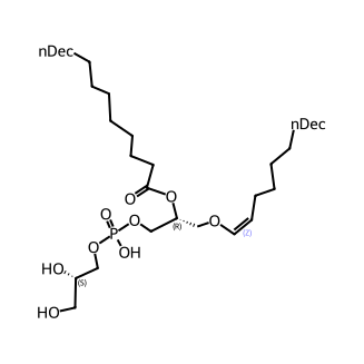 CCCCCCCCCCCCCC/C=C\OC[C@H](COP(=O)(O)OC[C@@H](O)CO)OC(=O)CCCCCCCCCCCCCCCCC